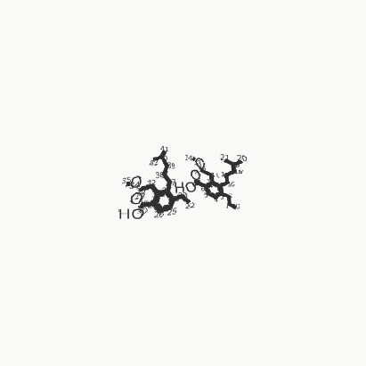 CCCc1ccc(C(=O)O)c(CCOC)c1CCCC(C)C.CCc1ccc(C(=O)O)c(CCOC)c1CCCC(C)C